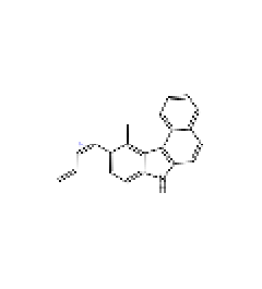 C=C/C=C\c1ccc2[nH]c3ccc4ccccc4c3c2c1C